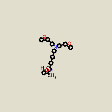 C=C(/C=C\c1oc2ccccc2c1C)c1ccc(-c2ccc(-c3ccc(N(c4ccc(-c5ccc6oc7ccccc7c6c5)cc4)c4ccc(-c5ccc6oc7ccccc7c6c5)cc4)cc3)cc2)cc1